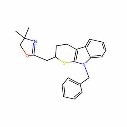 CC1(C)COC(CC2CCc3c(n(Cc4ccccc4)c4ccccc34)S2)=N1